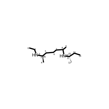 CCN[C@H](C)CCCC(C)N[C@@H](C)CC